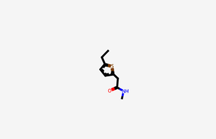 CCc1ccc(CC(=O)NC)s1